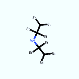 CCC(CC)C(CC)(CC)NC(CC)(CC)C(CC)CC